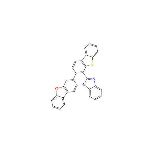 c1ccc2c(c1)nc1c3c(ccc4c5ccccc5sc43)c3cc4oc5ccccc5c4cc3n21